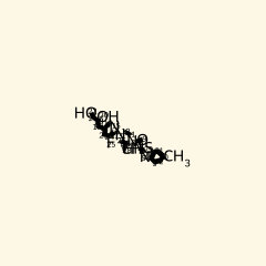 Cc1ccc2nc(NC(=O)N3CCN(c4ncc(C[C@@H](O)CO)cc4F)C[C@@H]3C)sc2c1